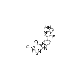 Nc1nc2ccc(-c3cnc4[nH]ccc4c3F)cn2c1C(=O)[C@@H]1C[C@@H]1F